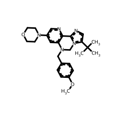 COc1ccc(CN2Cn3c(C(C)(C)C)cnc3-c3ncc(N4CCOCC4)cc32)cc1